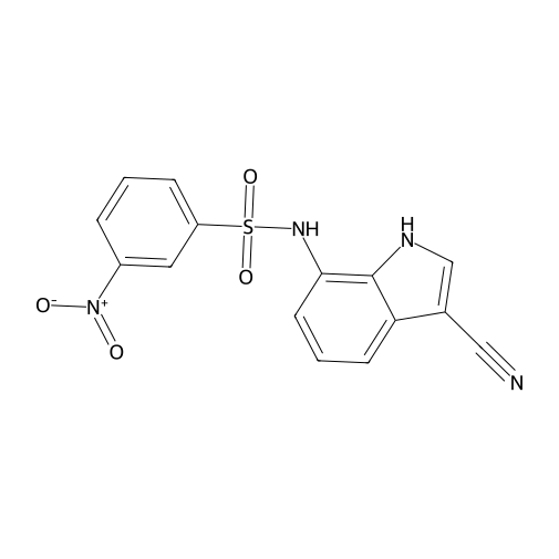 N#Cc1c[nH]c2c(NS(=O)(=O)c3cccc([N+](=O)[O-])c3)cccc12